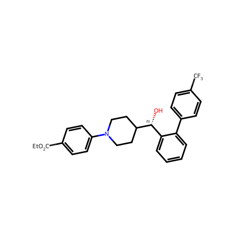 CCOC(=O)c1ccc(N2CCC([C@H](O)c3ccccc3-c3ccc(C(F)(F)F)cc3)CC2)cc1